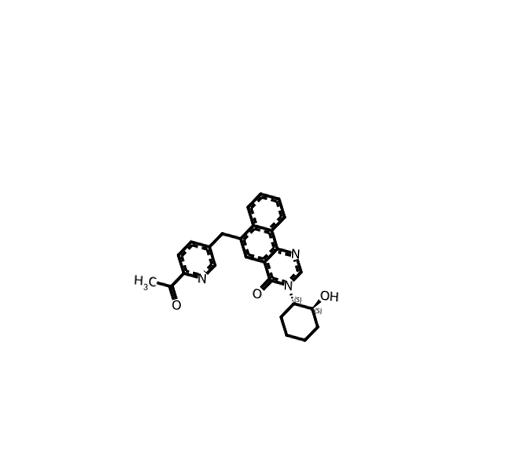 CC(=O)c1ccc(Cc2cc3c(=O)n([C@H]4CCCC[C@@H]4O)cnc3c3ccccc23)cn1